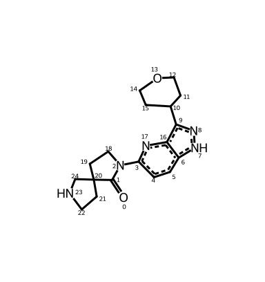 O=C1N(c2ccc3[nH]nc(C4CCOCC4)c3n2)CCC12CCNC2